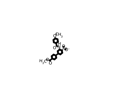 COC(=O)c1ccc(-c2ccc([N+](=O)[O-])c(NC(=O)c3ccc(OC)cc3)c2)cc1